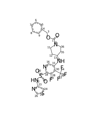 O=C(OCc1ccccc1)N1CCC(Nc2cnc(S(=O)(=O)Nc3cscn3)c(F)c2C(F)(F)F)CC1